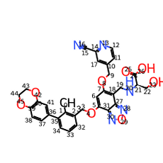 Cc1c(COc2cc(OCc3ccnc(C#N)c3)c(CN[C@H](CO)C(=O)O)c3nonc23)cccc1-c1ccc2c(c1)OCCO2